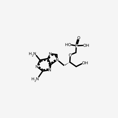 Nc1nc(N)c2ncn(C[C@@H](CO)OCP(=O)(O)O)c2n1